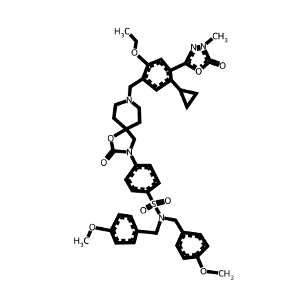 CCOc1cc(-c2nn(C)c(=O)o2)c(C2CC2)cc1CN1CCC2(CC1)CN(c1ccc(S(=O)(=O)N(Cc3ccc(OC)cc3)Cc3ccc(OC)cc3)cc1)C(=O)O2